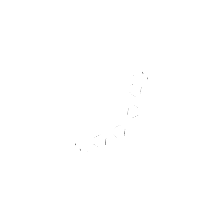 Cc1cc(Cc2ccc(-c3ccc(C#N)cc3)c(I)c2)ccc1-c1ccc(C#N)cc1